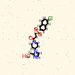 O=C(CCS(=O)(=O)c1ccc2cc(Cl)ccc2c1)N1CCC(n2ccnc2CO)CC1